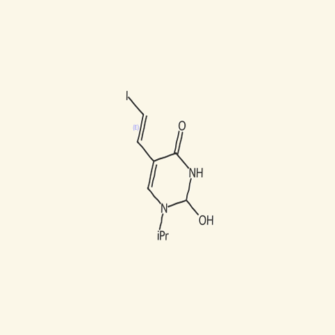 CC(C)N1C=C(/C=C/I)C(=O)NC1O